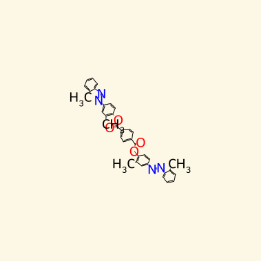 Cc1ccccc1/N=N/c1ccc(OC(=O)c2ccc(C(=O)Oc3ccc(/N=N/c4ccccc4C)cc3C)cc2)c(C)c1